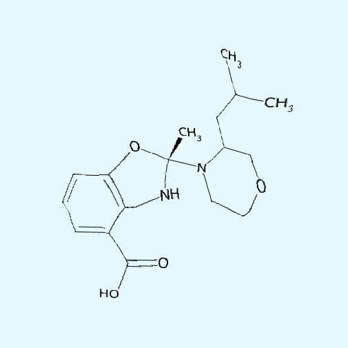 CC(C)CC1COCCN1[C@]1(C)Nc2c(cccc2C(=O)O)O1